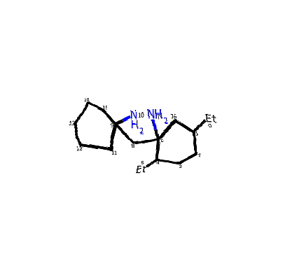 CCC1CCC(CC)C(N)(CC2(N)CCCCC2)C1